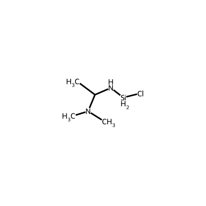 CC(N[SiH2]Cl)N(C)C